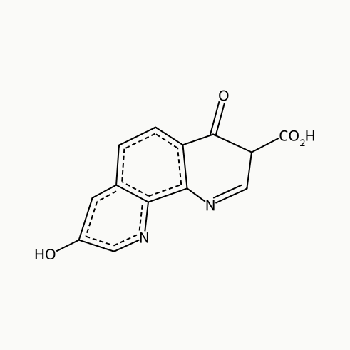 O=C(O)C1C=Nc2c(ccc3cc(O)cnc23)C1=O